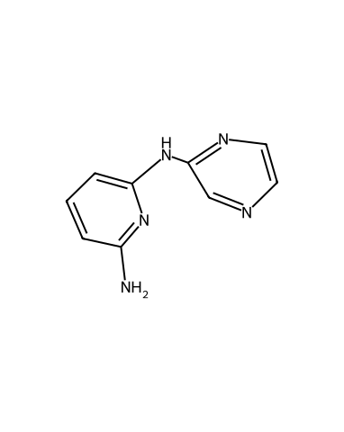 Nc1cccc(Nc2cnccn2)n1